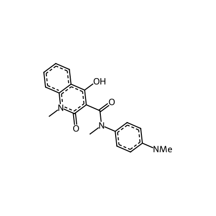 CNc1ccc(N(C)C(=O)c2c(O)c3ccccc3n(C)c2=O)cc1